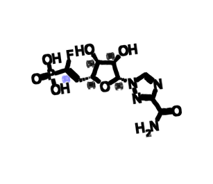 NC(=O)c1ncn([C@@H]2O[C@H](/C=C(\F)P(=O)(O)O)[C@@H](O)[C@H]2O)n1